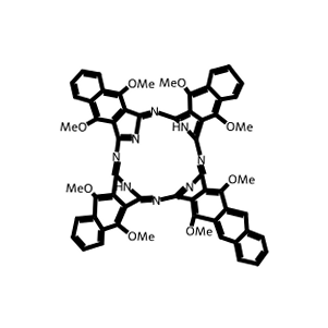 COc1c2c(c(OC)c3ccccc13)-c1nc-2nc2[nH]c(nc3nc(nc4[nH]c(n1)c1c(OC)c5ccccc5c(OC)c41)-c1c-3c(OC)c3cc4ccccc4cc3c1OC)c1c(OC)c3ccccc3c(OC)c21